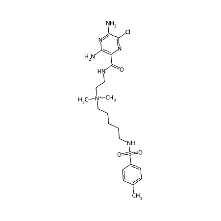 Cc1ccc(S(=O)(=O)NCCCCC[N+](C)(C)CCNC(=O)c2nc(Cl)c(N)nc2N)cc1